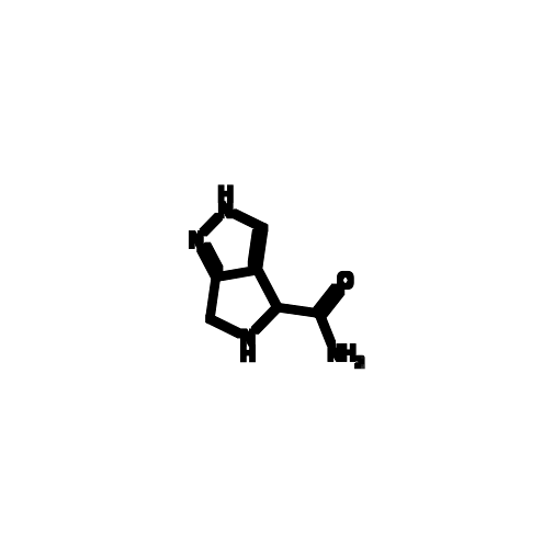 NC(=O)C1NCc2n[nH]cc21